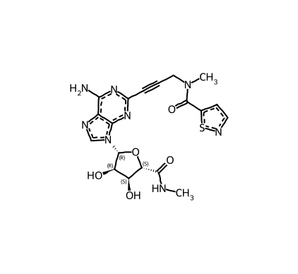 CNC(=O)[C@H]1O[C@@H](n2cnc3c(N)nc(C#CCN(C)C(=O)c4ccns4)nc32)[C@H](O)[C@@H]1O